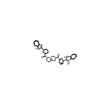 O=C(c1cccc(-c2nc3ccccc3[nH]2)n1)N1CCCC2(CCN(C(=O)c3cccc(C4Nc5ccccc5N4)n3)CC2)C1